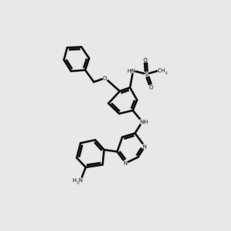 CS(=O)(=O)Nc1cc(Nc2cc(-c3cccc(N)c3)ncn2)ccc1OCc1ccccc1